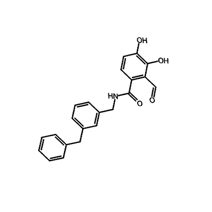 O=Cc1c(C(=O)NCc2cccc(Cc3ccccc3)c2)ccc(O)c1O